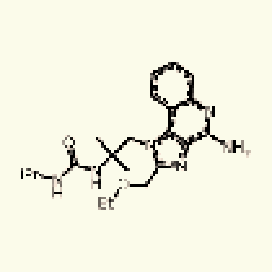 CCOCc1nc2c(N)nc3ccccc3c2n1CC(C)(C)NC(=O)NC(C)C